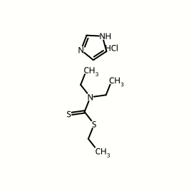 CCSC(=S)N(CC)CC.Cl.c1c[nH]cn1